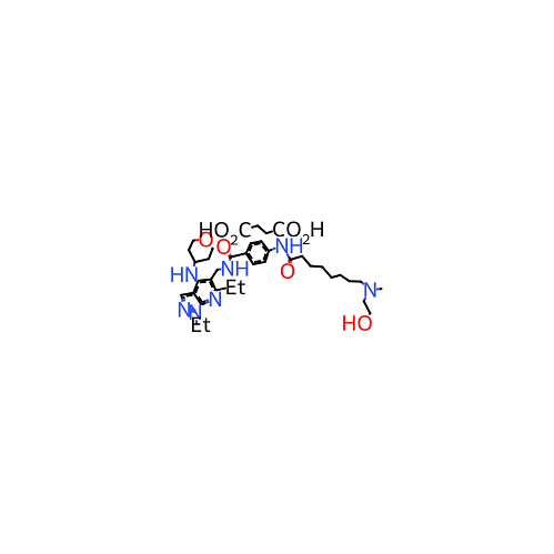 CCc1nc2c(cnn2CC)c(NC2CCOCC2)c1CNC(=O)c1ccc(NC(=O)CCCCCCCN(C)CCO)cc1.O=C(O)CCC(=O)O